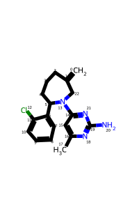 C=C1CCCC(c2ccccc2Cl)N(c2cc(C)nc(N)n2)C1